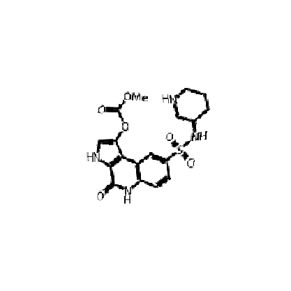 COC(=O)Oc1c[nH]c2c(=O)[nH]c3ccc(S(=O)(=O)NC4CCCNC4)cc3c12